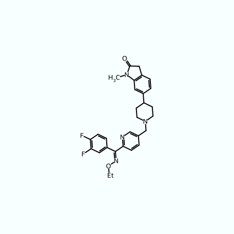 CCON=C(c1ccc(F)c(F)c1)c1ccc(CN2CCC(c3ccc4c(c3)N(C)C(=O)C4)CC2)cn1